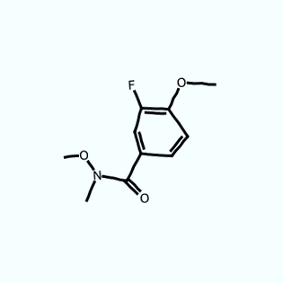 COc1ccc(C(=O)N(C)OC)cc1F